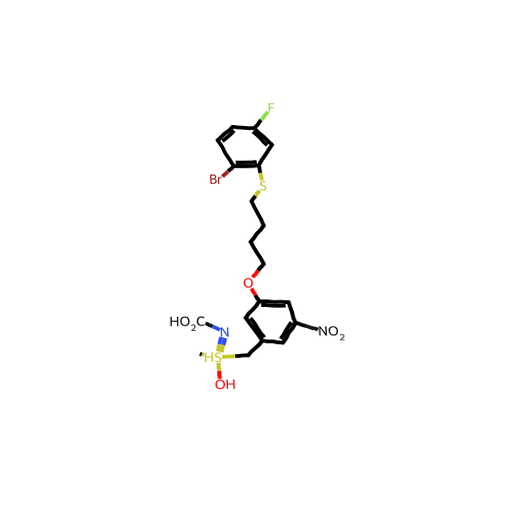 C[SH](O)(Cc1cc(OCCCCSc2cc(F)ccc2Br)cc([N+](=O)[O-])c1)=NC(=O)O